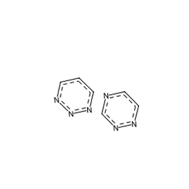 c1cnncn1.c1cnnnc1